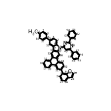 Cc1ccc(-c2ccc3c(c2)c2cc4c5ccccc5c5cc(-c6cccc7ccoc67)ccc5c4cc2n3-c2cc(-c3ccccc3)nc(-c3ccccc3)n2)cc1